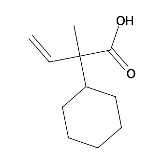 C=CC(C)(C(=O)O)C1CCCCC1